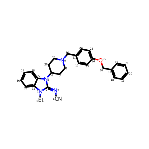 CCn1/c(=N\C#N)n(C2CCN(Cc3ccc(OCc4ccccc4)cc3)CC2)c2ccccc21